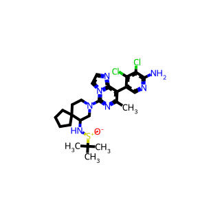 Cc1nc(N2CCC3(CCCC3)C(N[S@+]([O-])C(C)(C)C)C2)n2ccnc2c1-c1cnc(N)c(Cl)c1Cl